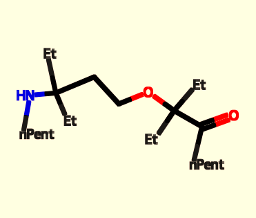 CCCCCNC(CC)(CC)CCOC(CC)(CC)C(=O)CCCCC